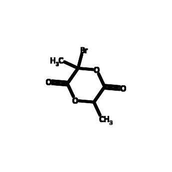 CC1OC(=O)C(C)(Br)OC1=O